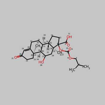 CC(C)COC(=O)OC1(C(=O)O)CC[C@H]2[C@@H]3CCC4=CC(=O)CC[C@]4(C)[C@@H]3C(O)C[C@@]21C